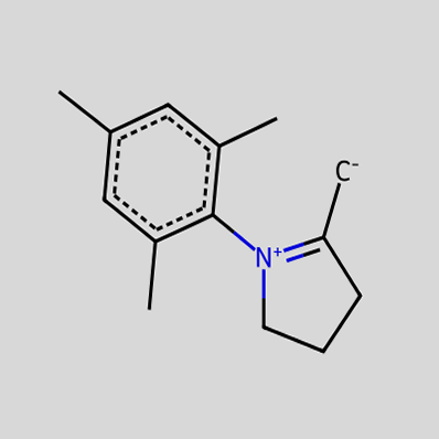 [CH2-]C1=[N+](c2c(C)cc(C)cc2C)CCC1